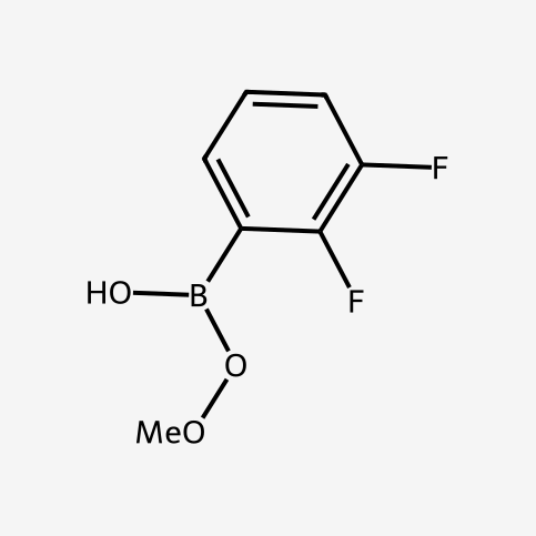 COOB(O)c1cccc(F)c1F